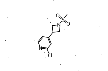 CS(=O)(=O)N1CC(c2ccnc(Cl)c2)C1